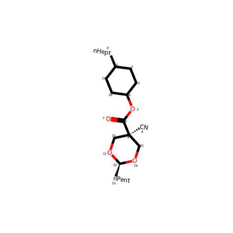 CCCCCCCC1CCC(OC(=O)[C@]2(C#N)CO[C@H](CCCCC)OC2)CC1